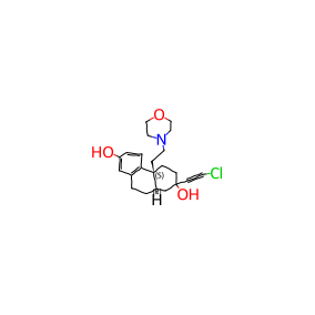 Oc1ccc2c(c1)CC[C@@H]1CC(O)(C#CCl)CC[C@@]21CCN1CCOCC1